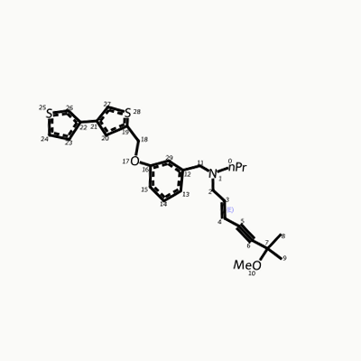 CCCN(C/C=C/C#CC(C)(C)OC)Cc1cccc(OCc2cc(-c3ccsc3)cs2)c1